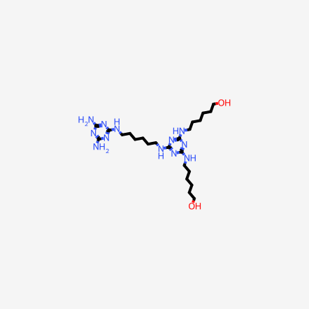 Nc1nc(N)nc(NCCCCCCNc2nc(NCCCCCCO)nc(NCCCCCCO)n2)n1